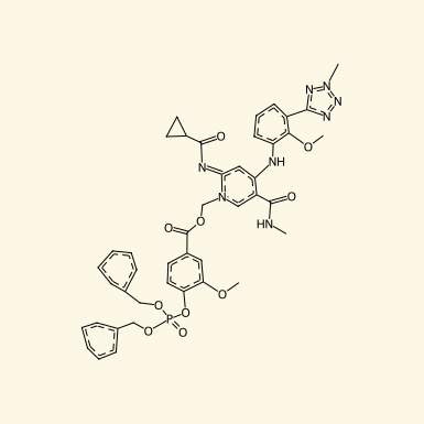 CNC(=O)c1cn(COC(=O)c2ccc(OP(=O)(OCc3ccccc3)OCc3ccccc3)c(OC)c2)/c(=N/C(=O)C2CC2)cc1Nc1cccc(-c2nnn(C)n2)c1OC